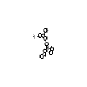 [2H]c1ccc2c(c1)c1cc(-c3ccc(N(c4ccc5c(c4)C(C)(C)c4ccccc4-5)c4cccc5ccccc45)cc3)ccc1n2-c1ccccc1